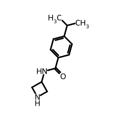 CC(C)c1ccc(C(=O)NC2CNC2)cc1